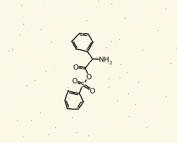 NC(C(=O)OS(=O)(=O)c1ccccc1)c1ccccc1